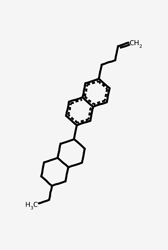 C=CCCc1ccc2cc(C3CCC4CC(CC)CCC4C3)ccc2c1